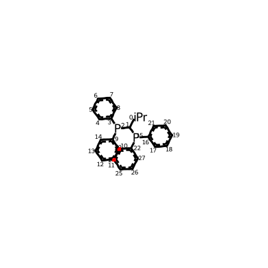 CC(C)C(P(c1ccccc1)c1ccccc1)P(c1ccccc1)c1ccccc1